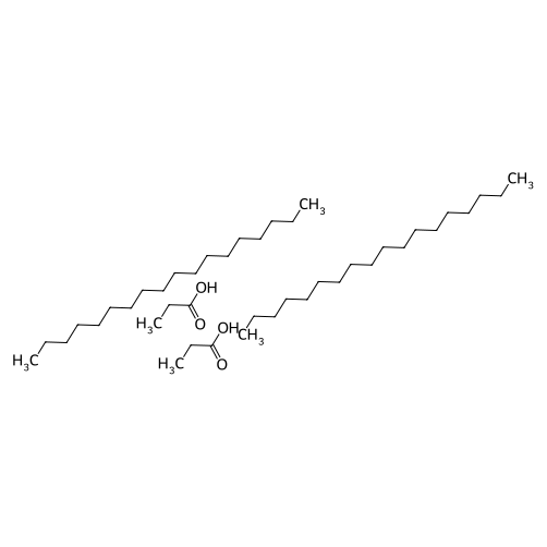 CCC(=O)O.CCC(=O)O.CCCCCCCCCCCCCCCCCC.CCCCCCCCCCCCCCCCCC